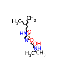 CCCC(CCC)CCC(=O)Nc1cnc(OCC(O)CNC(C)C)s1